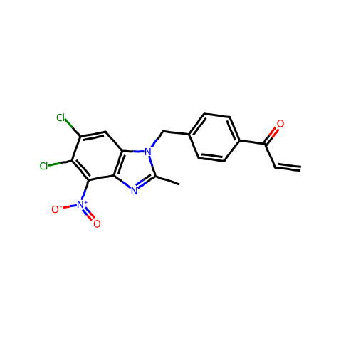 C=CC(=O)c1ccc(Cn2c(C)nc3c([N+](=O)[O-])c(Cl)c(Cl)cc32)cc1